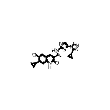 C[C@H](Nc1ncc(-n2nnnc2C2CC2)s1)c1cc2cc(Cl)c(C3CC3)cc2[nH]c1=O